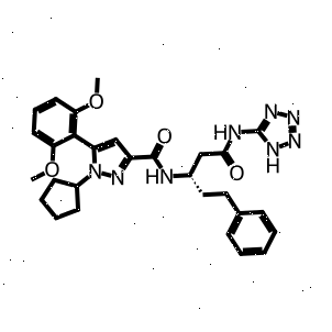 COc1cccc(OC)c1-c1cc(C(=O)N[C@@H](CCc2ccccc2)CC(=O)Nc2nnn[nH]2)nn1C1CCCC1